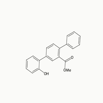 COC(=O)c1cc(-c2ccccc2O)ccc1-c1ccccc1